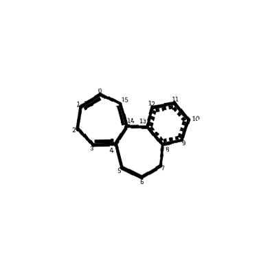 C1=CCC=C2CCCc3ccccc3C2=C1